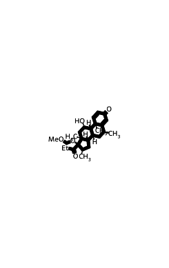 CCC(=O)[C@@]1(OCOC)[C@@H](C)C[C@H]2[C@@H]3C[C@H](C)C4=CC(=O)C=C[C@]4(C)[C@H]3[C@@H](O)C[C@@]21C